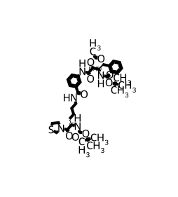 CC(=O)O[C@H](C(=O)Nc1cccc(C(=O)NCCCC[C@H](NC(=O)OC(C)(C)C)C(=O)N2CCSC2)c1)[C@@H](Cc1ccccc1)NC(=O)OC(C)(C)C